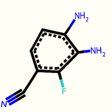 N#Cc1ccc(N)c(N)c1F